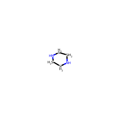 N1[SiH2][SiH2]N[SiH2][SiH2]1